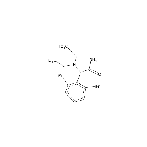 CC(C)c1cccc(C(C)C)c1C(C(N)=O)N(CC(=O)O)CC(=O)O